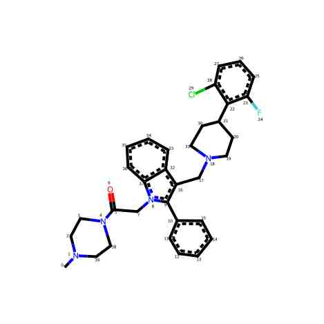 CN1CCN(C(=O)Cn2c(-c3ccccc3)c(CN3CCC(c4c(F)cccc4Cl)CC3)c3ccccc32)CC1